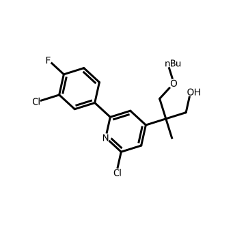 CCCCOCC(C)(CO)c1cc(Cl)nc(-c2ccc(F)c(Cl)c2)c1